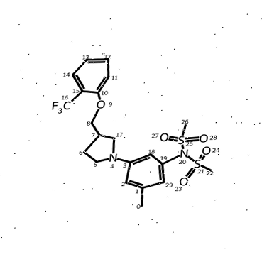 Cc1cc(N2CCC(COc3ccccc3C(F)(F)F)C2)cc(N(S(C)(=O)=O)S(C)(=O)=O)c1